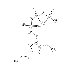 CCC[C@H]1C[C@@H](OC)[C@@H](COP(=O)(O)OP(=O)(O)OP(=O)(O)O)O1